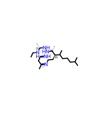 CCN[C@H](C)NN[C@H](C)[C@H](CC/N=C(/C)CC=N)C(C)CCCC(C)C